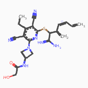 C=C/C=C\C(=C)C(Sc1nc(N2CC(NC(=O)CO)C2)c(C#N)c(CC)c1C#N)C(=N)N